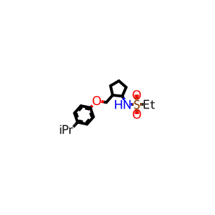 CCS(=O)(=O)NC1CCCC1COc1ccc(C(C)C)cc1